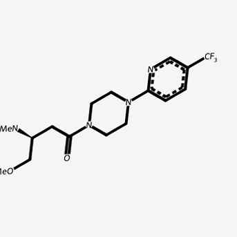 CN[C@H](COC)CC(=O)N1CCN(c2ccc(C(F)(F)F)cn2)CC1